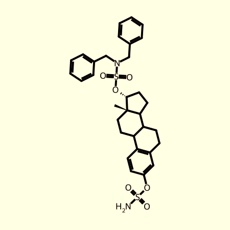 C[C@]12CCC3c4ccc(OS(N)(=O)=O)cc4CCC3C1CC[C@H]2OS(=O)(=O)N(Cc1ccccc1)Cc1ccccc1